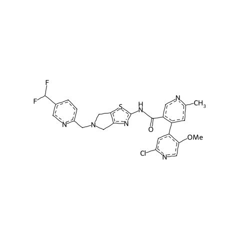 COc1cnc(Cl)cc1-c1cc(C)ncc1C(=O)Nc1nc2c(s1)CN(Cc1ccc(C(F)F)cn1)C2